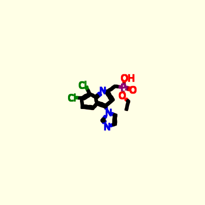 CCOP(=O)(O)Cc1cc(-n2ccnc2)c2ccc(Cl)c(Cl)c2n1